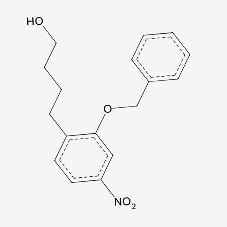 O=[N+]([O-])c1ccc(CCCCO)c(OCc2ccccc2)c1